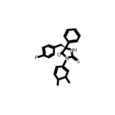 CC1C=CC(N2C(=O)[C@](Cc3ccc(F)cc3)(c3ccccc3)NC2=S)=CC1C